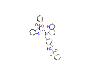 O=S(=O)(NCc1ccc(CN(Cc2nc3ccccc3n2S(=O)(=O)c2ccccc2)C2CCCc3cccnc32)cc1)c1ccccc1